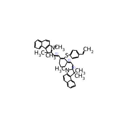 C=Cc1ccc(SC2=C(/C=C/C3=[N+](C)c4ccc5ccccc5c4C3(C)C)CCC/C2=C\C=C2/N(C)c3ccc4ccccc4c3C2(C)C)cc1